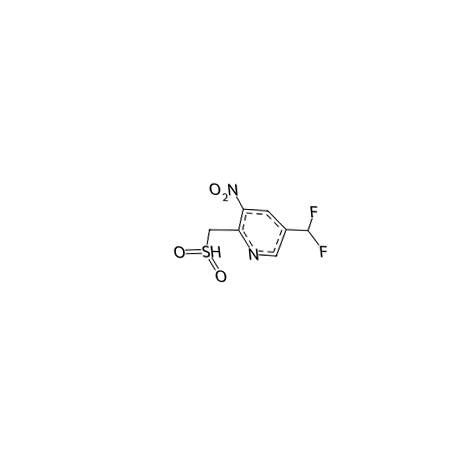 O=[N+]([O-])c1cc(C(F)F)cnc1C[SH](=O)=O